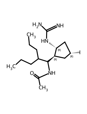 CCCC(CCC)C(NC(C)=O)[C@@H]1C[C@@H](I)C[C@H]1NC(=N)N